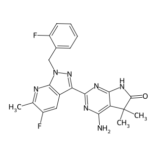 Cc1nc2c(cc1F)c(-c1nc(N)c3c(n1)NC(=O)C3(C)C)nn2Cc1ccccc1F